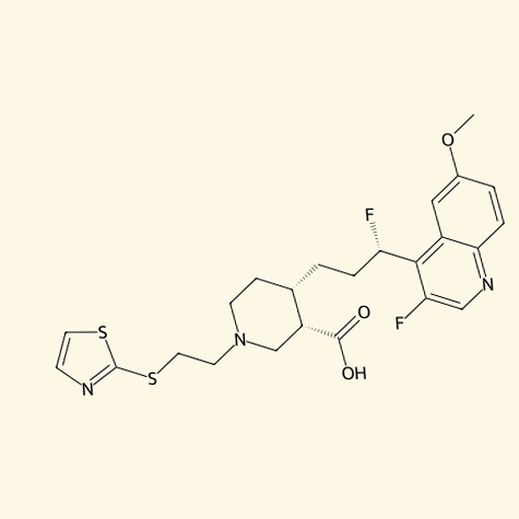 COc1ccc2ncc(F)c([C@@H](F)CC[C@H]3CCN(CCSc4nccs4)C[C@H]3C(=O)O)c2c1